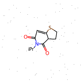 CC(C)N1C(=O)C=C2SCCC2C1=O